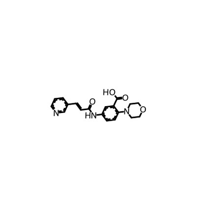 O=C(/C=C/c1cccnc1)Nc1ccc(N2CCOCC2)c(C(=O)O)c1